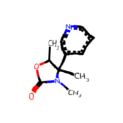 CC1OC(=O)N(C)C1(C)c1cccnc1